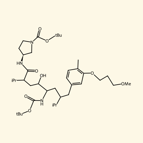 COCCCOc1cc(CC(CC(NC(=O)OC(C)(C)C)C(O)CC(C(=O)N[C@H]2CCN(C(=O)OC(C)(C)C)C2)C(C)C)C(C)C)ccc1C